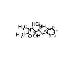 CC(=O)N(C)C[C@H](O)[C@H](N)Cc1ccccc1.Cl